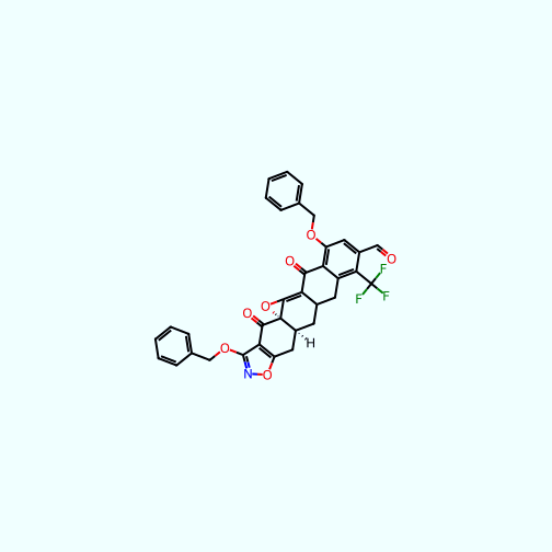 O=Cc1cc(OCc2ccccc2)c2c(c1C(F)(F)F)CC1C[C@H]3Cc4onc(OCc5ccccc5)c4C(=O)[C@]34OC4=C1C2=O